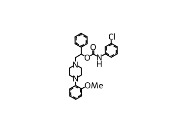 COc1ccccc1N1CCN(CC(OC(=O)Nc2cccc(Cl)c2)c2ccccc2)CC1